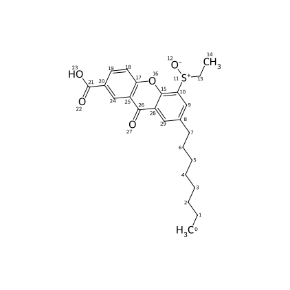 CCCCCCCCc1cc([S+]([O-])CC)c2oc3ccc(C(=O)O)cc3c(=O)c2c1